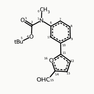 CN(C(=O)OC(C)(C)C)c1cccc(-c2ccc(C=O)o2)c1